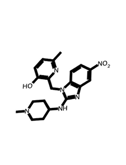 Cc1ccc(O)c(Cn2c(NC3CCN(C)CC3)nc3cc([N+](=O)[O-])ccc32)n1